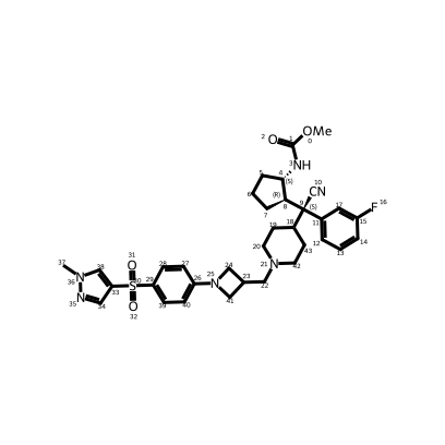 COC(=O)N[C@H]1CCC[C@@H]1[C@](C#N)(c1cccc(F)c1)C1CCN(CC2CN(c3ccc(S(=O)(=O)c4cnn(C)c4)cc3)C2)CC1